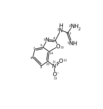 N=C(N)Nc1nc2cccc([N+](=O)[O-])c2o1